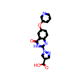 O=C(O)c1cnn(-c2nc3ccc(Oc4cccnc4)cc3c(=O)[nH]2)c1